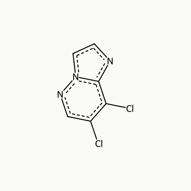 Clc1cnn2ccnc2c1Cl